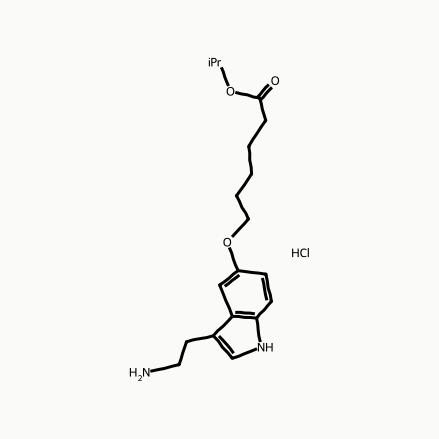 CC(C)OC(=O)CCCCCOc1ccc2[nH]cc(CCN)c2c1.Cl